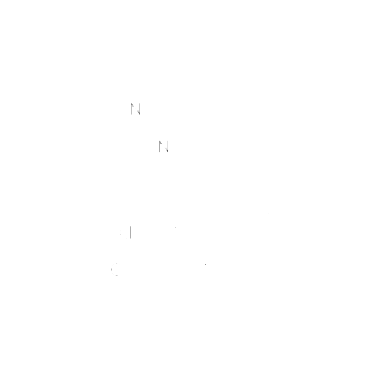 N#[N+]c1ccccc1Cl.[Cl-]